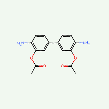 CC(=O)Oc1cc(-c2ccc(N)c(OC(C)=O)c2)ccc1N